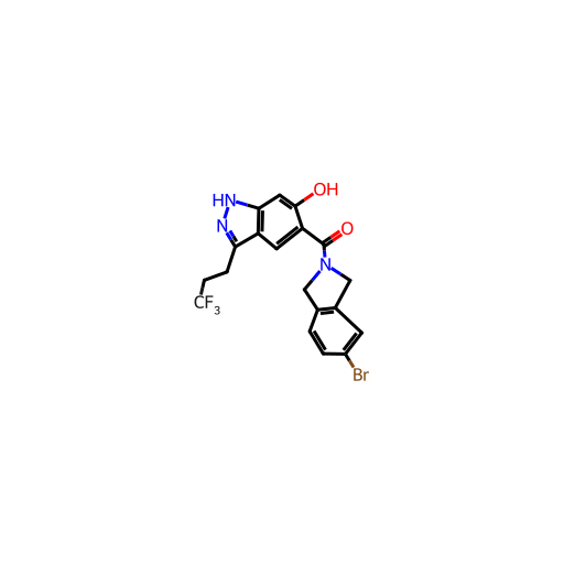 O=C(c1cc2c(CCC(F)(F)F)n[nH]c2cc1O)N1Cc2ccc(Br)cc2C1